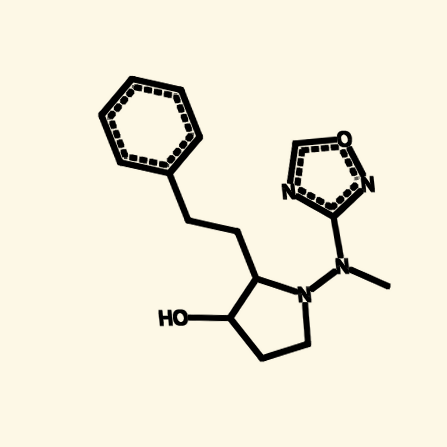 CN(c1ncon1)N1CCC(O)C1CCc1ccccc1